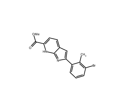 COC(=O)c1ccc2cc(-c3cccc(Br)c3C)nc-2[nH]1